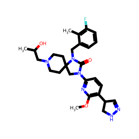 COc1nc(N2CC3(CCN(CC(C)O)CC3)N(Cc3cccc(F)c3C)C2=O)ccc1C1C=NNC1